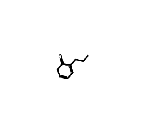 C[CH]CC1=CC=CCC1=O